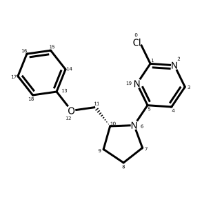 Clc1nccc(N2CCC[C@@H]2COc2ccccc2)n1